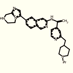 C=C(Nc1cc2cc(-c3cnc4n3CCNC4)ccc2cn1)c1ccnc(CC2CCN(C(C)C)CC2)c1